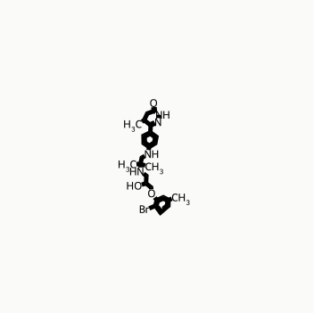 Cc1ccc(Br)c(OCC(O)CNC(C)(C)CNc2ccc(C3=NNC(=O)CC3C)cc2)c1